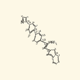 NC(=CC1C=c2ccccc2=C1)c1ccc(-c2ccc(C3=CC=N3)cc2)cc1